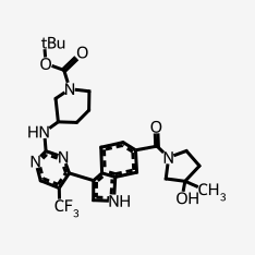 CC1(O)CCN(C(=O)c2ccc3c(-c4nc(NC5CCCN(C(=O)OC(C)(C)C)C5)ncc4C(F)(F)F)c[nH]c3c2)C1